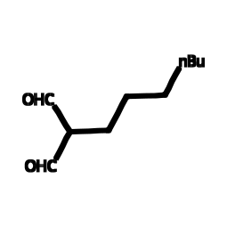 CCCCCCCC(C=O)C=O